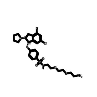 NCCOCCOCCNS(=O)(=O)c1ccc(O[C@H]2c3cc(Cl)cc(Cl)c3C[C@@H]2N2CCCC2)cc1